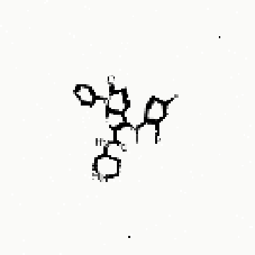 O=C(NC1CCNCC1)c1sc2c(ccc(=O)n2-c2ccccc2)c1Nc1ccc(F)cc1F